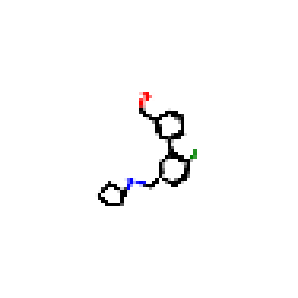 OCc1cccc(-c2cc(CNC3CCCC3)ccc2F)c1